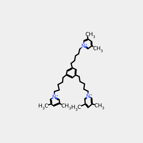 Cc1cc(C)c[n+](CCCCCc2cc(CCCCC[n+]3cc(C)cc(C)c3)cc(CCCCC[n+]3cc(C)cc(C)c3)c2)c1